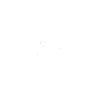 CC(=S)OCc1cc(C(F)(F)F)ccc1OC1CCN(C(=O)O)C1